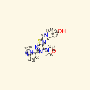 CC(C)(O)C1CCN(Cc2nc3c(N4CCOCC4)nc(-c4cccc5nccn45)nc3s2)CC1